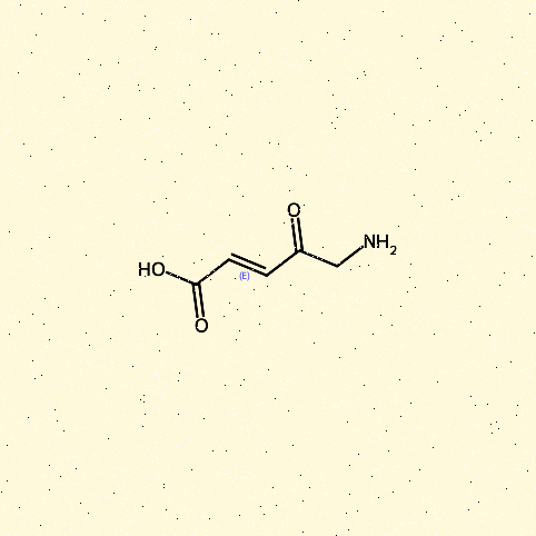 NCC(=O)/C=C/C(=O)O